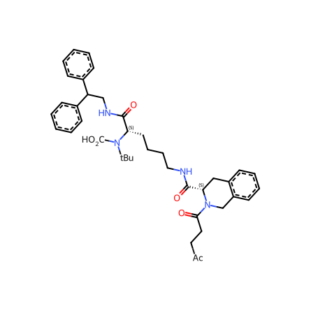 CC(=O)CCC(=O)N1Cc2ccccc2C[C@H]1C(=O)NCCCC[C@@H](C(=O)NCC(c1ccccc1)c1ccccc1)N(C(=O)O)C(C)(C)C